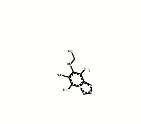 Cc1c(NCO)c(N)c2nnnn2c1C